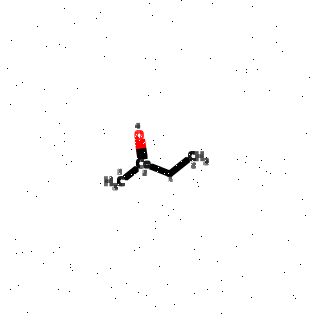 C[CH2][Co]([CH3])=[O]